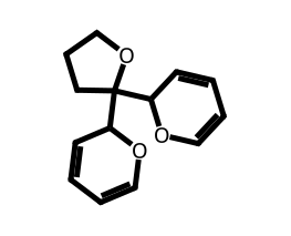 C1=COC(C2(C3C=CC=CO3)CCCO2)C=C1